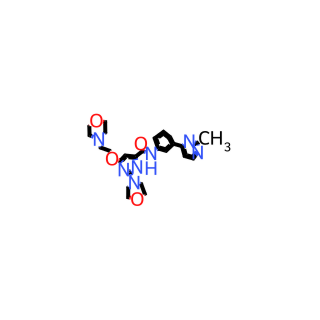 Cc1nccc(-c2cccc(NC(=O)c3cc(OCCN4CCOCC4)nc(N4CCOCC4)n3)c2)n1